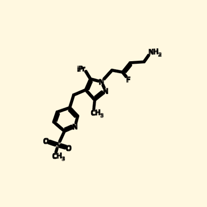 Cc1nn(C/C(F)=C/CN)c(C(C)C)c1Cc1ccc(S(C)(=O)=O)nc1